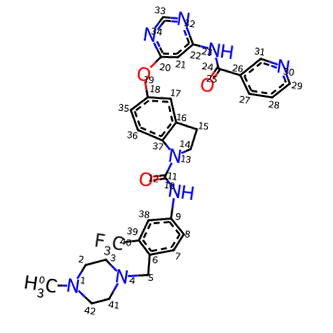 CN1CCN(Cc2ccc(NC(=O)N3CCc4cc(Oc5cc(NC(=O)c6cccnc6)ncn5)ccc43)cc2C(F)(F)F)CC1